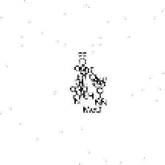 COCc1ncc(-c2ccc(S(=O)(=O)Nc3cc(F)c(C(=O)N[C@@H](Cc4ccc(-n5c(=O)c6ccncc6n(C)c5=O)nc4)C(=O)OC4CCC(F)(F)CC4)cc3F)cc2)cn1